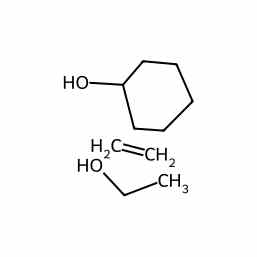 C=C.CCO.OC1CCCCC1